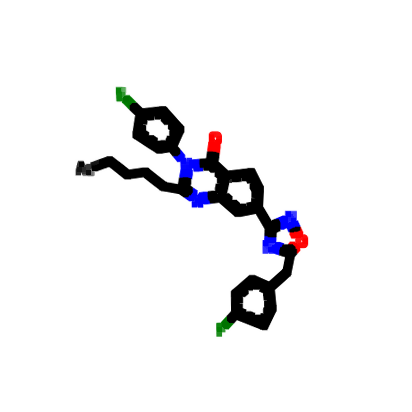 CC(=O)CCCCc1nc2cc(-c3noc(Cc4ccc(F)cc4)n3)ccc2c(=O)n1-c1ccc(F)cc1